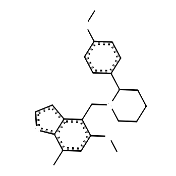 COc1cc(C)c2[nH]ccc2c1CN1CCCCC1c1ccc(SC)cc1